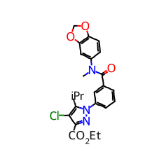 CCOC(=O)c1nn(-c2cccc(C(=O)N(C)c3ccc4c(c3)OCO4)c2)c(C(C)C)c1Cl